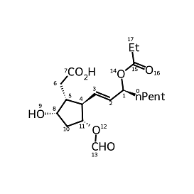 CCCCC[C@@H](C=C[C@@H]1[C@@H](CC(=O)O)[C@@H](O)C[C@H]1OC=O)OC(=O)CC